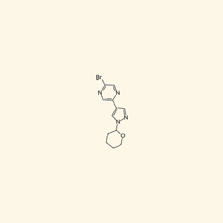 Brc1cnc(-c2cnn(C3CCCCO3)c2)cn1